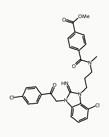 COC(=O)c1ccc(C(=O)N(C)CCCn2c(=N)n(CC(=O)c3ccc(Cl)cc3)c3cccc(Cl)c32)cc1